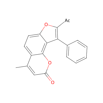 CC(=O)c1oc2ccc3c(C)cc(=O)oc3c2c1-c1ccccc1